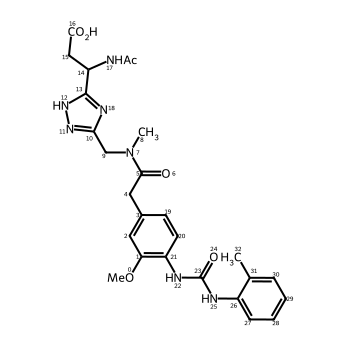 COc1cc(CC(=O)N(C)Cc2n[nH]c(C(CC(=O)O)NC(C)=O)n2)ccc1NC(=O)Nc1ccccc1C